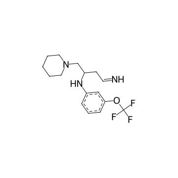 N=CCC(CN1CCCCC1)Nc1cccc(OC(F)(F)F)c1